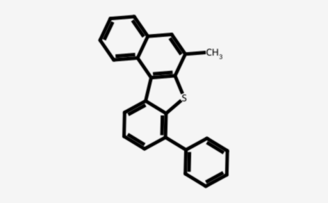 Cc1cc2ccccc2c2c1sc1c(-c3ccccc3)cccc12